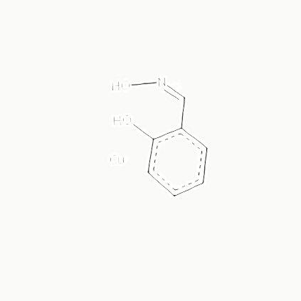 O/N=C\c1ccccc1O.[Cu]